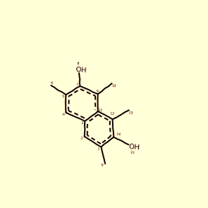 Cc1cc2cc(C)c(O)c(C)c2c(C)c1O